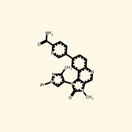 Cc1nn(C(C)C)cc1-n1c(=O)n(C)c2cnc3ccc(-c4ccc(C(N)=O)nc4)cc3c21